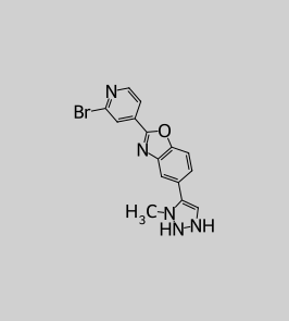 CN1NNC=C1c1ccc2oc(-c3ccnc(Br)c3)nc2c1